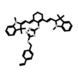 C=Cc1ccc(CSc2nnc(SC3=C(/C=C/C4N(C)c5ccccc5C4(C)C)CCC/C3=C\C=C3\N(C)c4ccccc4C3(C)C)s2)cc1